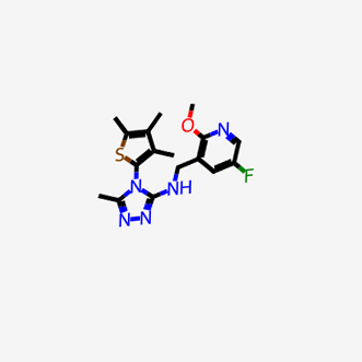 COc1ncc(F)cc1CNc1nnc(C)n1-c1sc(C)c(C)c1C